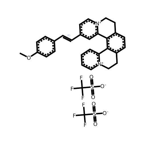 COc1ccc(/C=C/c2cc[n+]3c(c2)-c2c(ccc4c2-c2cccc[n+]2CC4)CC3)cc1.O=S(=O)([O-])C(F)(F)F.O=S(=O)([O-])C(F)(F)F